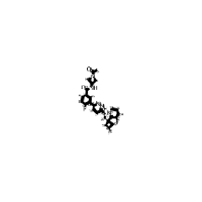 CC(=O)N1CC(NC(=O)c2ccc(F)c(-c3ccc(NC[C@]4(c5ncccc5F)C[C@H](F)C4)nn3)c2)C1